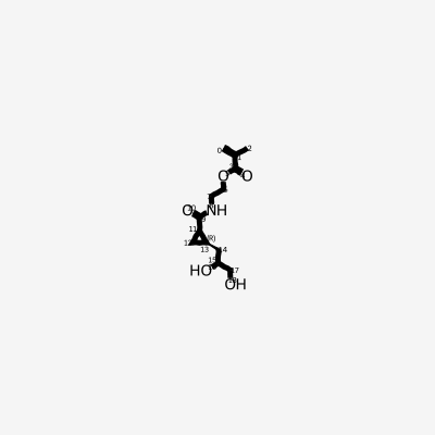 C=C(C)C(=O)OCCNC(=O)C1C[C@@H]1CC(O)CO